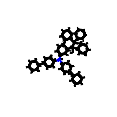 CC1(c2ccccc2)c2ccccc2-c2ccc(N(c3ccc(-c4ccccc4)cc3)c3ccc(-c4ccccc4)cc3)cc2C1(C)c1ccccc1